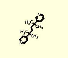 CC(C)(CCC(C)(C)c1cccnc1)c1ccncc1